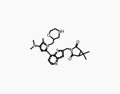 Cc1c(N(C)C)cc(-c2ccnc3cc(CN4C(=O)C5C(C4=O)C5(C)C)sc23)n1CC1CNCCO1